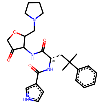 CC(C)(C[C@H](NC(=O)c1cc[nH]c1)C(=O)NC1C(=O)COC1CN1CCCC1)c1ccccc1